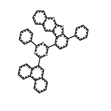 c1ccc(-c2nc(-c3cc4ccccc4c4ccccc34)nc(-c3ccc(-c4ccccc4)c4oc5nc6ccccc6cc5c34)n2)cc1